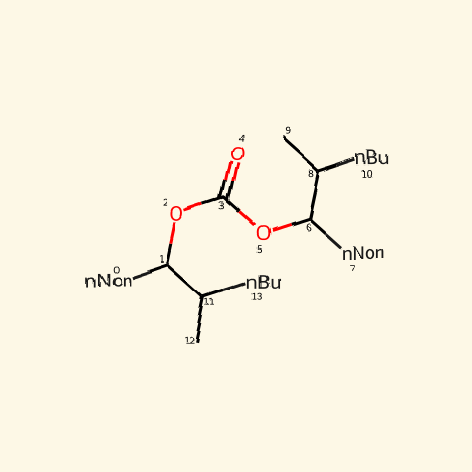 CCCCCCCCCC(OC(=O)OC(CCCCCCCCC)C(C)CCCC)C(C)CCCC